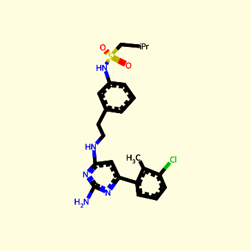 Cc1c(Cl)cccc1-c1cc(NCCc2cccc(NS(=O)(=O)CC(C)C)c2)nc(N)n1